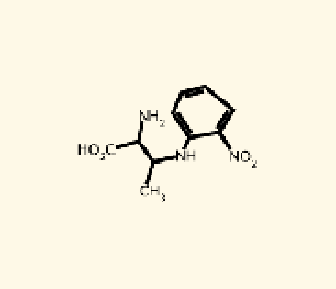 CC(Nc1ccccc1[N+](=O)[O-])C(N)C(=O)O